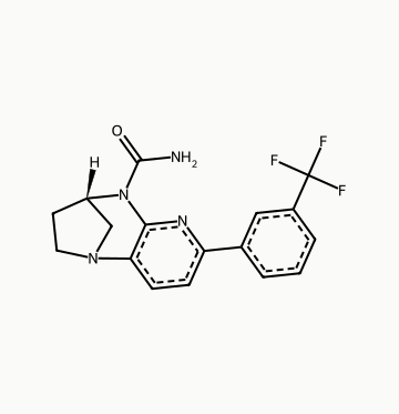 NC(=O)N1c2nc(-c3cccc(C(F)(F)F)c3)ccc2N2CC[C@H]1C2